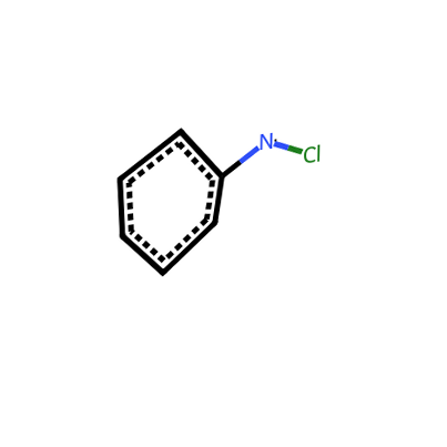 Cl[N]c1ccccc1